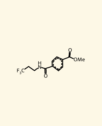 COC(=O)c1ccc(C(=O)NCCC(F)(F)F)cc1